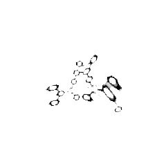 c1ccc(-c2cc(-c3ccccc3)cc(-c3nc(-c4ccccc4)nc(-c4ccc(-c5cccc6c5oc5c(-c7ccc(-c8nc(-c9ccccc9)nc(-c9cc(-c%10ccccc%10)cc(-c%10ccccc%10)c9)n8)cc7)cc7c8ccccc8n(-c8ccccc8)c7c56)cc4)n3)c2)cc1